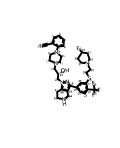 N#Cc1ccccc1N1CCN(C[C@H](O)Cn2nc(-c3ccc(C(F)(F)F)c(SCCN4CCC(F)CC4)c3)c3c2CCNC3)CC1